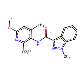 CCOc1cc(C)c(NC(=O)c2nn(C)c3ccccc23)c(C(=O)O)n1